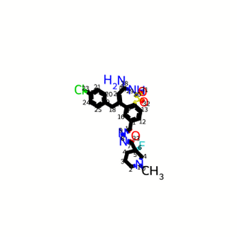 CN1CCCC(F)(c2nnc(-c3ccc4c(c3)C(Cc3ccc(Cl)cc3)=C[C@H](N)NS4(=O)=O)o2)C1